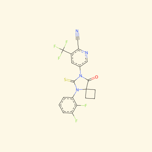 N#Cc1ncc(N2C(=O)C3(CCC3)N(c3cccc(F)c3F)C2=S)cc1C(F)(F)F